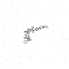 CN1CCN(c2ccc(C(=O)Nc3cnc4[nH]cc(/C=C5/N=C(NC6CCCCC6)NC5=O)c4c3)cc2)CC1